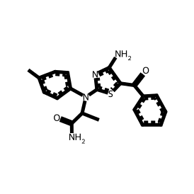 Cc1ccc(N(c2nc(N)c(C(=O)c3ccccc3)s2)C(C)C(N)=O)cc1